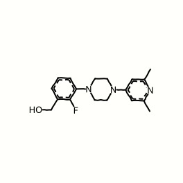 Cc1cc(N2CCN(c3cccc(CO)c3F)CC2)cc(C)n1